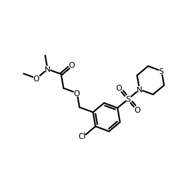 CON(C)C(=O)COCc1cc(S(=O)(=O)N2CCSCC2)ccc1Cl